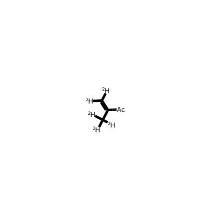 [2H]C([2H])=C(C(C)=O)C([2H])([2H])[2H]